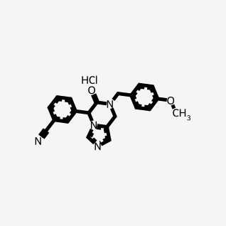 COc1ccc(CN2Cc3cncn3C(c3cccc(C#N)c3)C2=O)cc1.Cl